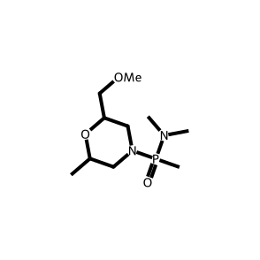 COCC1CN(P(C)(=O)N(C)C)CC(C)O1